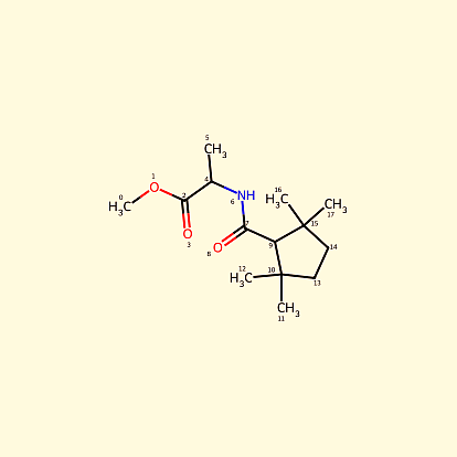 COC(=O)C(C)NC(=O)C1C(C)(C)CCC1(C)C